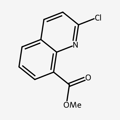 COC(=O)c1cccc2ccc(Cl)nc12